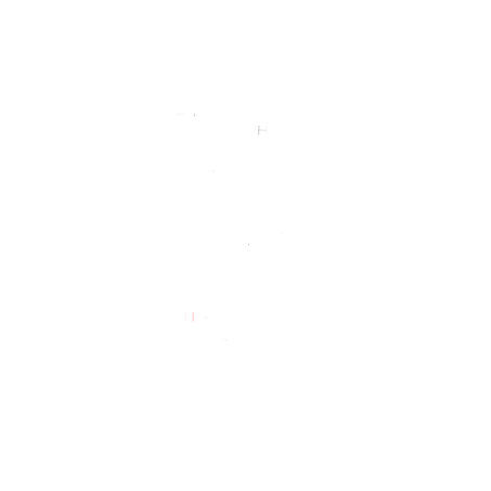 CC(C)C(=O)CCC(=O)Oc1ccccc1C(=O)O